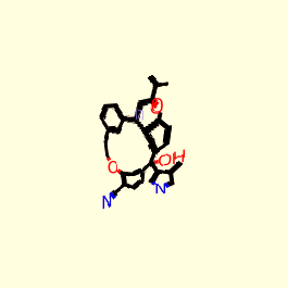 C=C(C)C(=O)/C=C1/c2cccc(c2)CCOc2cc(ccc2C#N)C(O)(C2=CN=CC2=C)c2ccc(C)c1c2